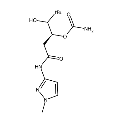 Cn1ccc(NC(=O)C[C@H](OC(N)=O)C(O)C(C)(C)C)n1